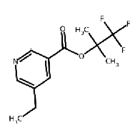 CCc1cn[c]c(C(=O)OC(C)(C)C(F)(F)F)c1